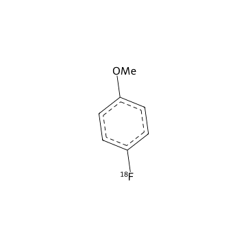 COc1ccc([18F])cc1